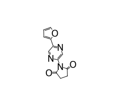 O=C1CCC(=O)N1c1cnc(-c2ccco2)cn1